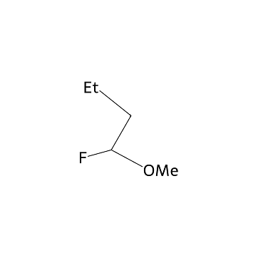 CCCC(F)OC